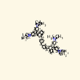 CCN(CC)c1ccc(C(=C2C=CC(=[N+](CC)CC)C=C2)c2ccc(CC3CCC(CC4CCC(Cc5ccc(C(=C6C=CC(=[N+](CC)CC)C=C6)c6ccc(N(CC)CC)cc6)c6ccccc56)CC4)CC3)c3ccccc23)cc1